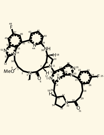 CO[C@H]1CN(C)C(=O)[C@@H]2C[C@@H](CN2c2nc3nc4c2cnn4-c2ccc(F)cc2CCC(=O)N2CC[C@H](C3)C2)Nc2cccc(n2)-c2cc(F)cc3nc(C)n(c23)C1